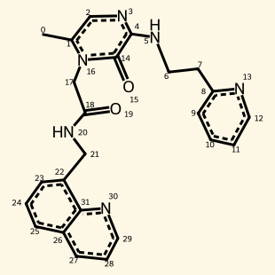 Cc1cnc(NCCc2ccccn2)c(=O)n1CC(=O)NCc1cccc2cccnc12